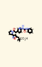 CC(C)(Cc1cc(C2CCCN2C(=O)Cc2ccc(NC(=O)Nc3ccccc3)nc2)no1)C(=O)O